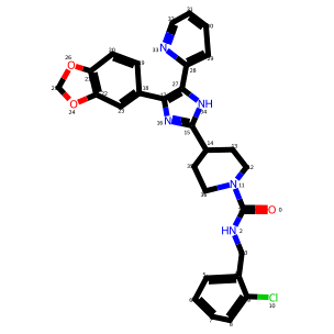 O=C(NCc1ccccc1Cl)N1CCC(c2nc(-c3ccc4c(c3)OCO4)c(-c3ccccn3)[nH]2)CC1